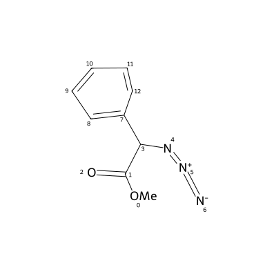 COC(=O)C(N=[N+]=[N-])c1ccccc1